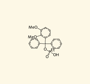 CCP(=O)(O)OC(c1ccccc1)(c1ccccc1)c1cccc(OC)c1OC